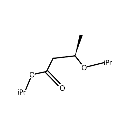 CC(C)OC(=O)C[C@@H](C)OC(C)C